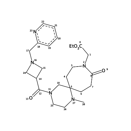 CCOC(=O)CN1CCC2(CCC1=O)CN(C(=O)C1CN(Cc3ccccn3)C1)CCN2C